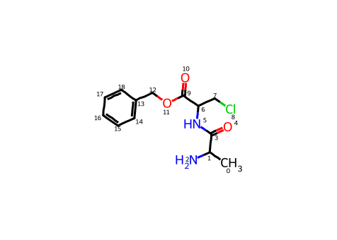 CC(N)C(=O)NC(CCl)C(=O)OCc1ccccc1